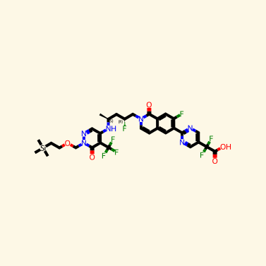 C[C@@H](C[C@@H](F)Cn1ccc2cc(-c3ncc(C(F)(F)C(=O)O)cn3)c(F)cc2c1=O)Nc1cnn(COCC[Si](C)(C)C)c(=O)c1C(F)(F)F